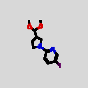 COC(OC)C1CCN(c2ccc(I)cn2)C1